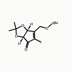 CCCCOCC1=C(I)C(=O)[C@@H]2OC(C)(C)O[C@H]12